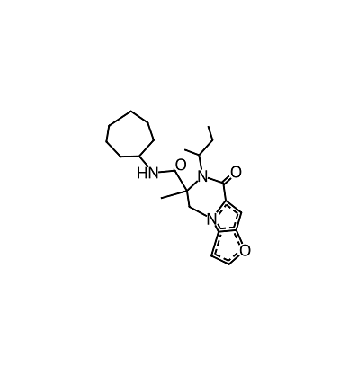 CCC(C)N1C(=O)c2cc3occc3n2CC1(C)C(=O)NC1CCCCCC1